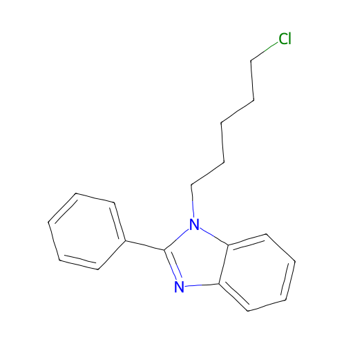 ClCCCCCn1c(-c2ccccc2)nc2ccccc21